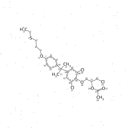 CCSCCCOc1ccc(C(C)(C)c2cc(Cl)c(OCC(CCl)OC(C)=O)c(Cl)c2)cc1